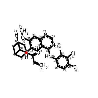 C=CC(=O)N1CC2C[C@H](C1)C2Nc1cc2c(Nc3ccc(Cl)c(Cl)c3F)ncnc2cc1OC